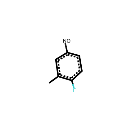 Cc1cc(N=O)ccc1F